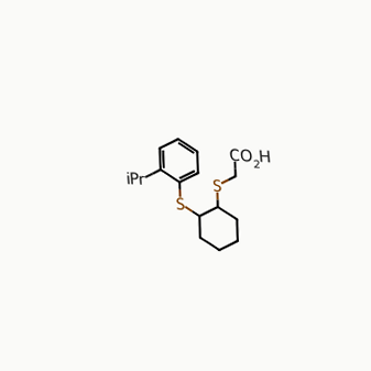 CC(C)c1ccccc1SC1CCCCC1SCC(=O)O